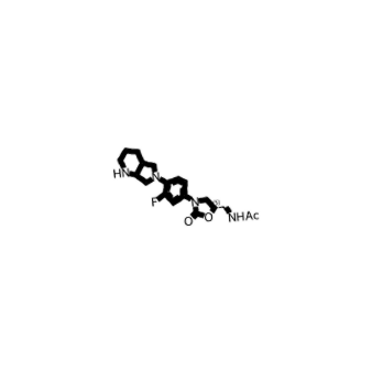 CC(=O)NC[C@H]1CN(c2ccc(N3CC4CCCNC4C3)c(F)c2)C(=O)O1